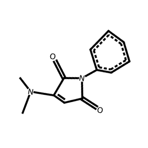 CN(C)C1=CC(=O)N(c2ccccc2)C1=O